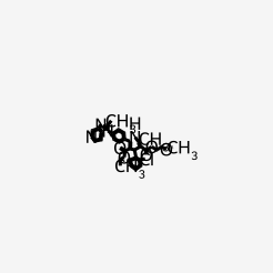 CCOC(=O)C1=C(c2ccc(-n3c(C)nc4cnccc43)cc2)NC(C)=C(C(=O)OCCOC)C1c1ccccc1Cl